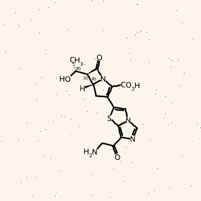 C[C@@H](O)[C@H]1C(=O)N2C(C(=O)O)=C(c3cn4cnc(C(=O)CN)c4s3)C[C@H]12